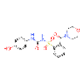 O=C(Nc1ccc(O)cc1)NS(=O)(=O)c1ccccc1C(=O)N1CCOCC1